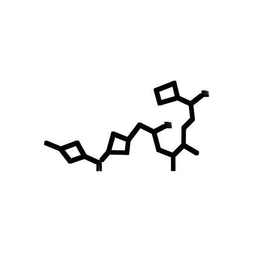 CCC(CC1CC(NC2CC(C)C2)C1)CC(C)C(C)CCC(CC)C1CCC1